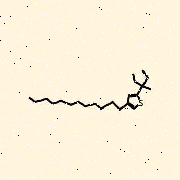 CCCCCCCCCCCCc1csc(C(C)(CC)CC)c1